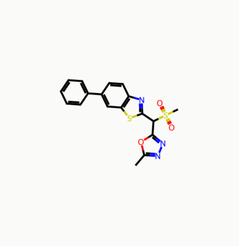 Cc1nnc(C(c2nc3ccc(-c4ccccc4)cc3s2)S(C)(=O)=O)o1